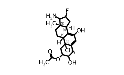 CC(=O)OC1C[C@@]2(C)C(=CC(O)=C3[C@H]2CC[C@]2(C)C(N)C(F)C[C@@H]32)CC1O